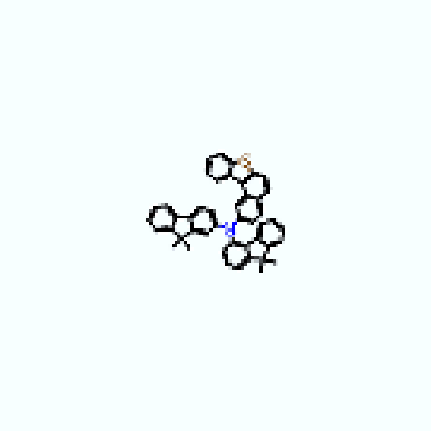 CC1(C)c2ccccc2-c2ccc(N(c3ccc4ccc5sc6ccccc6c5c4c3)c3cccc4c3-c3ccccc3C4(C)C)cc21